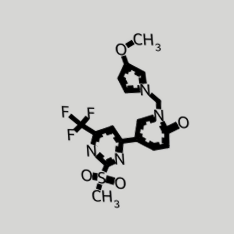 COc1ccn(Cn2cc(-c3cc(C(F)(F)F)nc(S(C)(=O)=O)n3)ccc2=O)c1